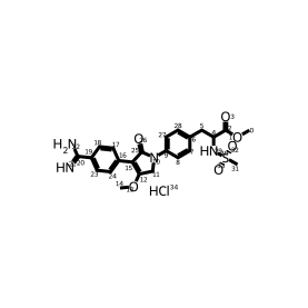 COC(=O)C(Cc1ccc(N2CC(OC)=C(c3ccc(C(=N)N)cc3)C2=O)cc1)NS(C)(=O)=O.Cl